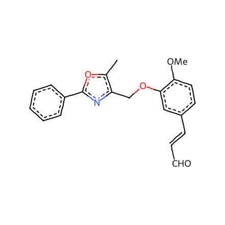 COc1ccc(C=CC=O)cc1OCc1nc(-c2ccccc2)oc1C